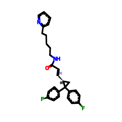 O=C(/C=C/[C@@H]1CC1(c1ccc(F)cc1)c1ccc(F)cc1)NCCCCCc1ccccn1